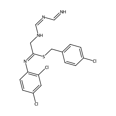 N=C/N=C\NCC(=Nc1ccc(Cl)cc1Cl)SCc1ccc(Cl)cc1